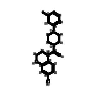 Cc1ccnc(N2CCN(C(=O)N3CCOc4cc(Cl)ccc43)CC2)c1